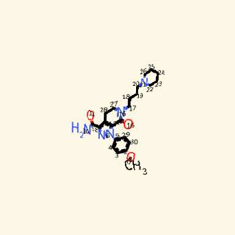 COc1ccc(-n2nc(C(N)=O)c3c2C(=O)N(CCCCN2CCCCC2)CC3)cc1